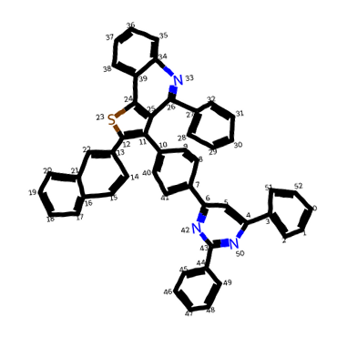 c1ccc(-c2cc(-c3ccc(-c4c(-c5ccc6ccccc6c5)sc5c4c(-c4ccccc4)nc4ccccc45)cc3)nc(-c3ccccc3)n2)cc1